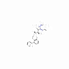 C=C/C(OC)=c1/c(C(=O)C(=O)N2CCc3c(cccc3-c3ccccn3)C2)c[nH]/c1=C(/N)Br